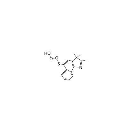 CC1=Nc2c(cc(SOOO)c3ccccc23)C1(C)C